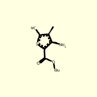 Cc1c(C#N)sc(C(=O)OC(C)(C)C)c1N